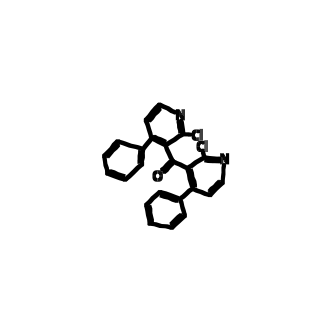 O=C(c1c(-c2ccccc2)ccnc1Cl)c1c(-c2ccccc2)ccnc1Cl